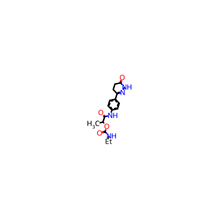 CCNC(=O)OC(C)C(=O)Nc1ccc(C2=NNC(=O)CC2)cc1